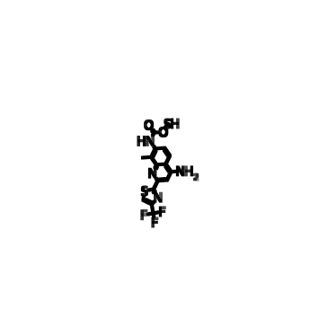 Cc1c(NC(=O)OS)ccc2c(N)cc(-c3nc(C(F)(F)F)cs3)nc12